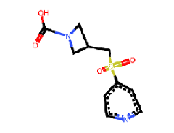 O=C(O)N1CC(CS(=O)(=O)c2ccncc2)C1